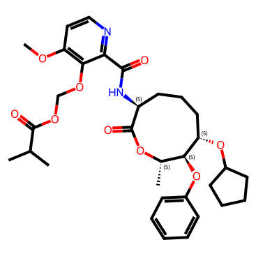 COc1ccnc(C(=O)N[C@H]2CCC[C@H](OC3CCCC3)[C@@H](Oc3ccccc3)[C@H](C)OC2=O)c1OCOC(=O)C(C)C